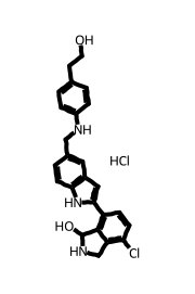 Cl.OCCc1ccc(NCc2ccc3[nH]c(-c4ccc(Cl)c5c4C(O)NC5)cc3c2)cc1